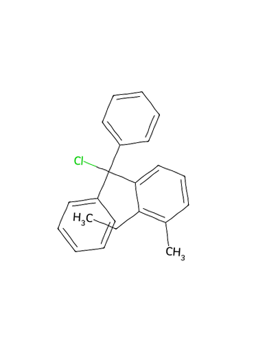 CCc1c(C)cccc1C(Cl)(c1ccccc1)c1ccccc1